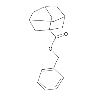 O=C(OCc1ccccc1)C12CC3CC(CC(C3)C1)C2